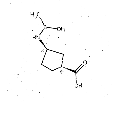 CB(O)N[C@@H]1CC[C@H](C(=O)O)C1